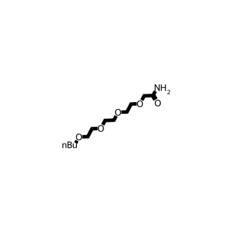 CCCCOCCOCCOCCOCC(N)=O